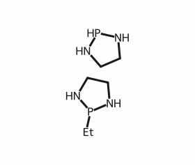 C1CNPN1.CCP1NCCN1